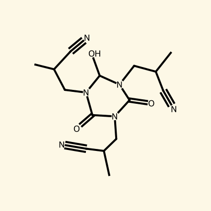 CC(C#N)CN1C(=O)N(CC(C)C#N)C(O)N(CC(C)C#N)C1=O